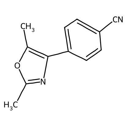 Cc1nc(-c2ccc(C#N)cc2)c(C)o1